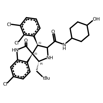 CC(C)(C)C[C@H]1NC(C(=O)NC2CCC(O)CC2)[C@H](c2cccc(Cl)c2Cl)[C@@]12C(=O)Nc1cc(Cl)ccc12